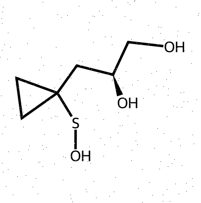 OC[C@@H](O)CC1(SO)CC1